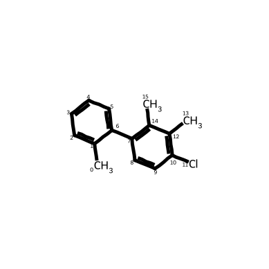 Cc1ccccc1-c1ccc(Cl)c(C)c1C